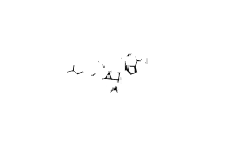 CC(C)CCOC(=O)OC1[C@@]2(C#N)O[C@@H](c3ccc4c(N)ncnn34)[C@@H]3OC(C)(C)O[C@@]132